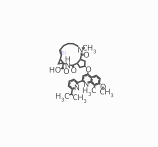 COc1ccc2c(OC3CC4C(=O)NC5(C(=O)O)CC5/C=C/CCCCN(C)C(=O)C4C3)cc(-c3cccc(C(C)C)n3)nc2c1C